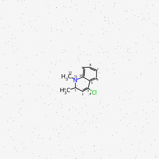 CC1C=C(Cl)c2ccccc2N1C